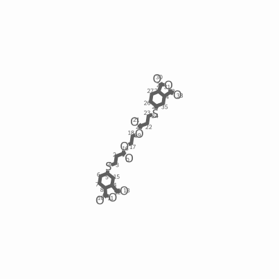 O=C(CCSC1CCC2C(=O)OC(=O)C2C1)OCCOC(=O)CCSC1CCC2C(=O)OC(=O)C2C1